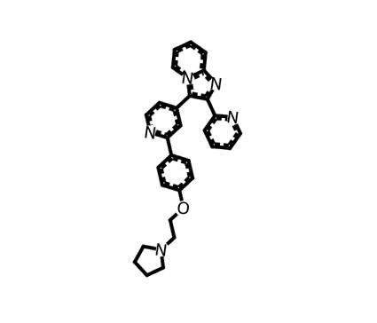 c1ccc(-c2nc3ccccn3c2-c2ccnc(-c3ccc(OCCN4CCCC4)cc3)c2)nc1